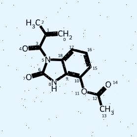 C=C(C)C(=O)n1c(=O)[nH]c2c(OC(C)=O)cccc21